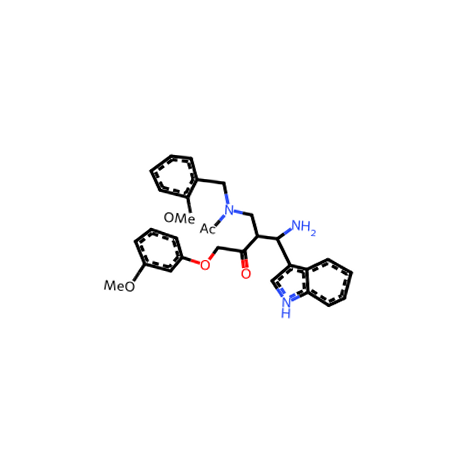 COc1cccc(OCC(=O)C(CN(Cc2ccccc2OC)C(C)=O)C(N)c2c[nH]c3ccccc23)c1